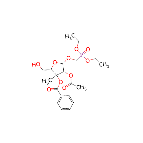 CCOP(=O)(CO[C@H]1O[C@@H](CO)C(C)(OC(=O)c2ccccc2)[C@H]1OC(C)=O)OCC